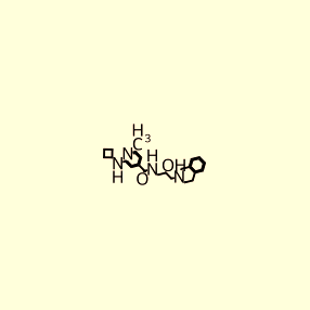 Cc1cc(C(=O)NCC(O)CN2CCc3ccccc3C2)cc(NC2CCC2)n1